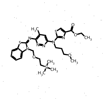 CCOC(=O)c1csc(N(CCCOC)c2cc(C)c(N=c3sc4ccccc4n3COCC[Si](C)(C)C)nn2)n1